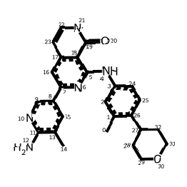 Cc1cc(Nc2nc(-c3cnc(N)c(C)c3)cc3c2C(=O)[N]C=C3)ccc1C1CCOCC1